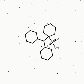 O=S(=O)(O)C1(P(C2CCCCC2)C2CCCCC2)CCCCC1